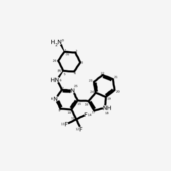 N[C@H]1CCC[C@@H](Nc2ncc(C(F)(F)F)c(-c3c[nH]c4ccccc34)n2)C1